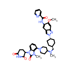 COc1cc2nn([C@H]3CC[C@H](CN(C)C4CCN(c5cccc6c5n(C)c(=O)n6C5CCC(=O)NC5=O)CC4)CC3)cc2cc1NC(=O)c1ccccn1